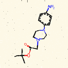 CC(C)(C)OC(=O)CN1CCN(c2ccc(N)cc2)CC1